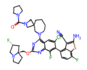 N#Cc1c(N)sc2c(F)ccc(-c3c(Cl)cc4c(N5CCCCC6(CN(C(=O)N7CCCC7)C6)C5)nc(OC[C@@]56CCCN5C[C@H](F)C6)nc4c3F)c12